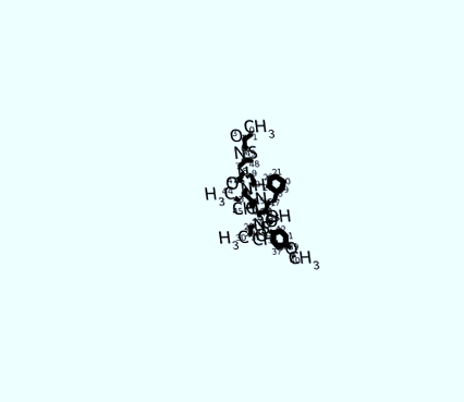 CCC(=O)c1nc(CN2CCN([C@H](C(=O)N[C@@H](Cc3ccccc3)[C@@H](O)CN(CC(C)C)S(=O)(=O)c3ccc(OC)cc3)C(C)C)C2=O)cs1